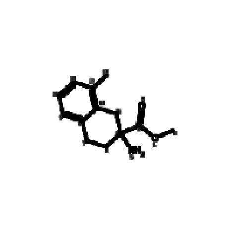 COC(=O)C1(N)CCc2cccc(C)c2C1